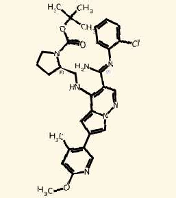 COc1cc(C)c(-c2cc3c(NC[C@H]4CCCN4C(=O)OC(C)(C)C)c(/C(N)=N/c4ccccc4Cl)cnn3c2)cn1